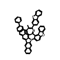 CC1=C(c2ccc3c(c2)sc2ccccc23)N=C(c2c(-n3c4cc5ccccc5cc4c4cc5ccccc5cc43)ccc3oc4ccccc4c23)CC=C1c1cccc(-c2ccccc2)c1